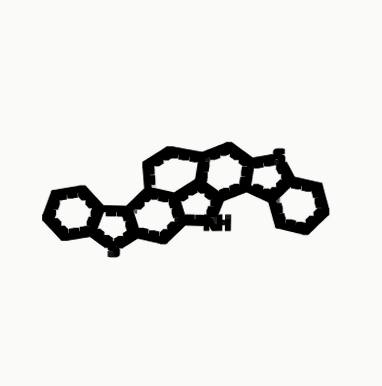 c1ccc2c(c1)sc1cc3[nH]c4c5c(cc6ccc(c12)c3c64)sc1ccccc15